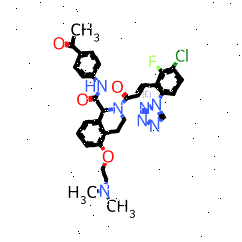 CC(=O)c1ccc(NC(=O)C2c3cccc(OCCN(C)C)c3CCN2C(=O)/C=C/c2c(-n3cnnn3)ccc(Cl)c2F)cc1